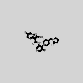 Nc1nn2cc(F)cnc2c1C(=O)Nc1cncc(F)c1N1CCC(CN2CCCC2=O)CC1